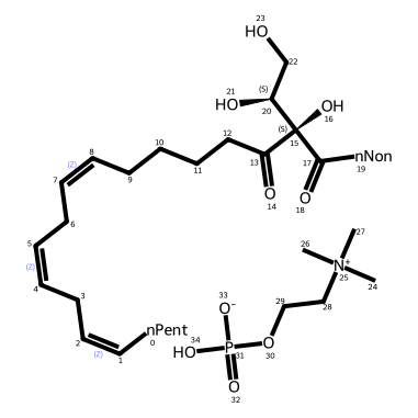 CCCCC/C=C\C/C=C\C/C=C\CCCCC(=O)[C@@](O)(C(=O)CCCCCCCCC)[C@@H](O)CO.C[N+](C)(C)CCOP(=O)([O-])O